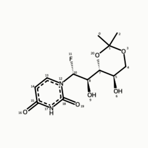 CC1(C)OC[C@@H](O)[C@H]([C@@H](O)[C@@H](F)n2ccc(=O)[nH]c2=O)O1